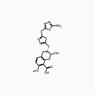 COc1ccc2c(c1C(=O)O)OB(O)[C@@H](Sc1nnc(Sc3nnc(N)s3)s1)C2